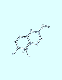 COc1ccc2c(ccc(C)[n+]2C)c1